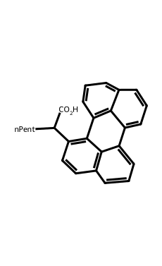 CCCCCC(C(=O)O)c1ccc2cccc3c4cccc5cccc(c1c23)c54